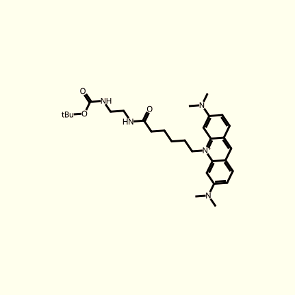 CN(C)c1ccc2cc3ccc(N(C)C)cc3[n+](CCCCCC(=O)NCCNC(=O)OC(C)(C)C)c2c1